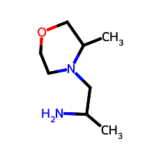 CC(N)CN1CCOCC1C